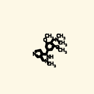 COc1cc(C2=c3ccncc3=CN(C)N2)cc(OC)c1CN(C)C